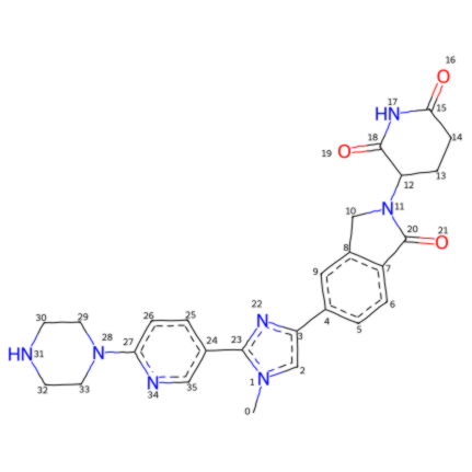 Cn1cc(-c2ccc3c(c2)CN(C2CCC(=O)NC2=O)C3=O)nc1-c1ccc(N2CCNCC2)nc1